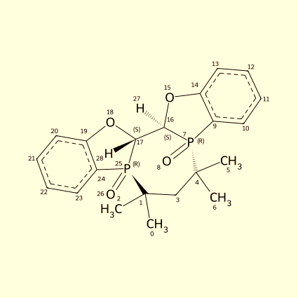 CC1(C)CC(C)(C)[P@@]2(=O)c3ccccc3O[C@@H]2[C@H]2Oc3ccccc3[P@@]21=O